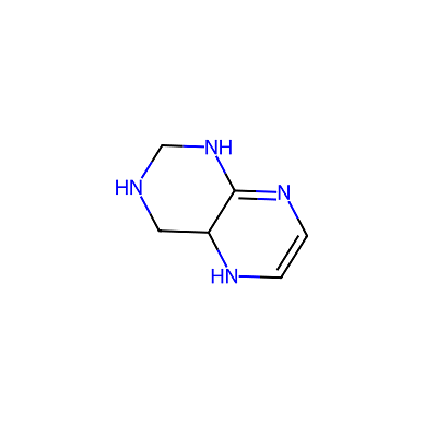 C1=CNC2CNCNC2=N1